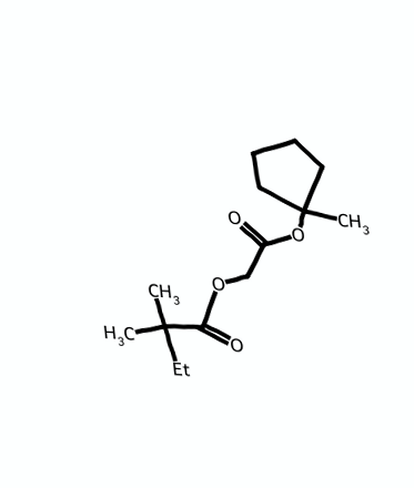 CCC(C)(C)C(=O)OCC(=O)OC1(C)CCCC1